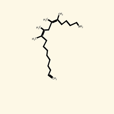 C=CCCCCCCC/C(C)=C(/C)C/C(C)=C(/C)CCCCN